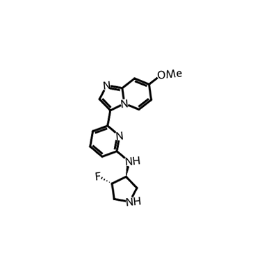 COc1ccn2c(-c3cccc(N[C@H]4CNC[C@@H]4F)n3)cnc2c1